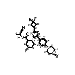 C[C@@H](C#N)NC(=O)C1C[C@@H](F)CC[C@H]1c1nc(C2CC(F)(F)C2)sc1-c1ccc(N2CC[S+]([O-])CC2)cc1